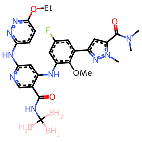 BC(B)(B)NC(=O)c1cnc(Nc2ccc(OCC)nn2)cc1Nc1cc(F)cc(-c2cc(C(=O)N(C)C)n(C)n2)c1OC